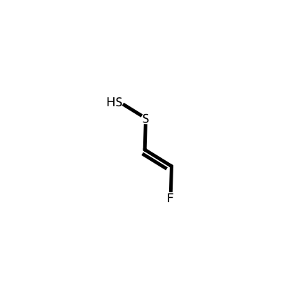 FC=CSS